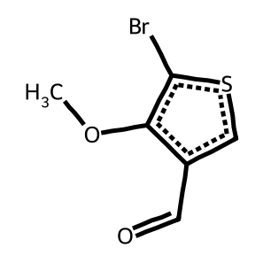 COc1c(C=O)csc1Br